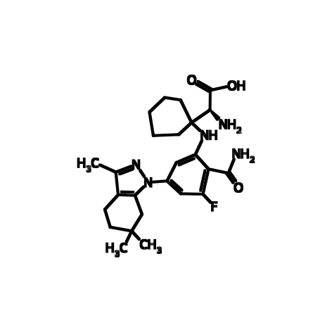 Cc1nn(-c2cc(F)c(C(N)=O)c(NC3([C@H](N)C(=O)O)CCCCC3)c2)c2c1CCC(C)(C)C2